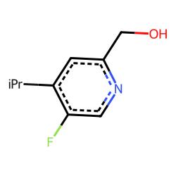 CC(C)c1cc(CO)ncc1F